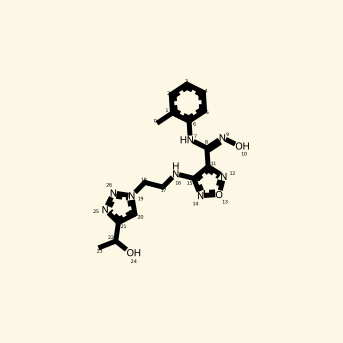 Cc1ccccc1NC(=NO)c1nonc1NCCn1cc(C(C)O)nn1